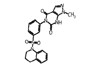 Cn1ncc2c(=O)n(-c3cccc(S(=O)(=O)N4CCCc5ccccc54)c3)c(=O)[nH]c21